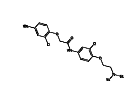 CCN(CC)CCOc1ccc(NC(=O)COc2ccc(C(C)(C)C)cc2Cl)cc1Cl